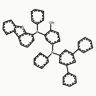 Oc1ccc(N(c2ccccc2)c2cc(-c3ccccc3)cc(-c3ccccc3)c2)cc1N(c1ccccc1)c1cccc2c1sc1ccccc12